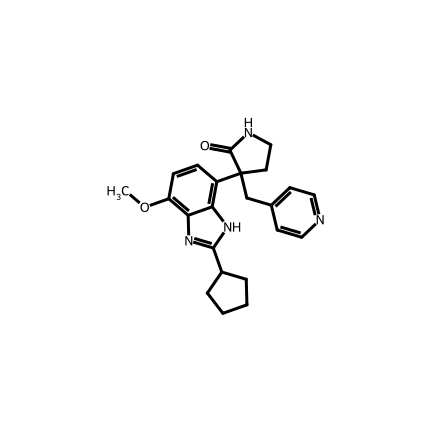 COc1ccc(C2(Cc3ccncc3)CCNC2=O)c2[nH]c(C3CCCC3)nc12